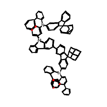 c1ccc(-c2ccccc2N(c2cccc(-n3c4ccccc4c4cc(-c5ccc6c(c5)-c5cc(N(c7ccccc7-c7ccccc7)c7ccc(-c8ccccc8)c8ccccc78)ccc5C65C6CC7CC8CC5C786)ccc43)c2)c2ccc3c(c2)-c2ccccc2C32C3CCC4CC(C3)CC2C4)cc1